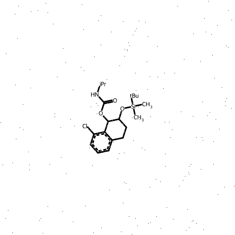 CC(C)NC(=O)OC1c2c(Cl)cccc2CCC1O[Si](C)(C)C(C)(C)C